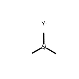 C[Si](C)C.[Y]